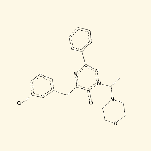 CC(N1CCOCC1)n1nc(-c2ccccc2)nc(Cc2cccc(Cl)c2)c1=O